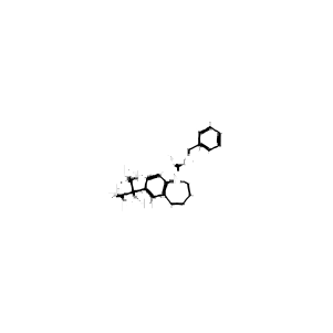 O=C(OCc1ccccc1)N1CCCCc2cc(C(O)(C(F)(F)F)C(F)(F)F)ccc21